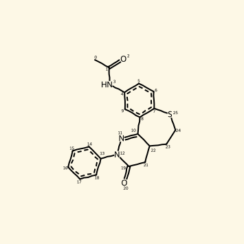 CC(=O)Nc1ccc2c(c1)C1=NN(c3ccccc3)C(=O)CC1CCS2